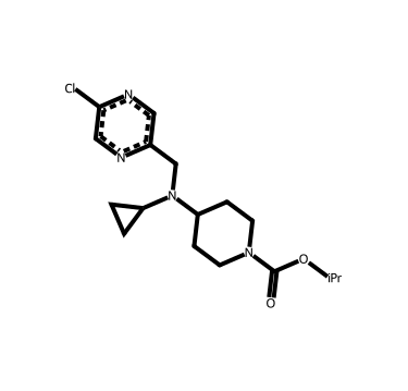 CC(C)OC(=O)N1CCC(N(Cc2cnc(Cl)cn2)C2CC2)CC1